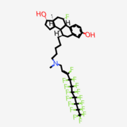 CN(C/C=C(\F)C(F)(F)C(F)(F)C(F)(F)C(F)(F)C(F)(F)C(F)(F)C(F)(F)F)CCCCC[C@@H]1Cc2cc(O)ccc2[C@@H]2[C@@H]1[C@@H]1CC[C@H](O)[C@@]1(C)C[C@@H]2F